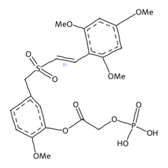 COc1cc(OC)c(/C=C/S(=O)(=O)Cc2ccc(OC)c(OC(=O)COP(=O)(O)O)c2)c(OC)c1